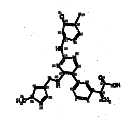 C=C(C(=O)O)c1cccc(-c2cnc(Nc3ccc(F)c(Cl)c3)nc2NCc2cnn(C)c2)c1